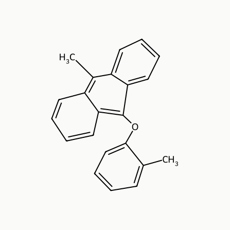 Cc1ccccc1Oc1c2ccccc2c(C)c2ccccc12